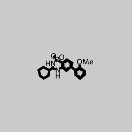 COc1ccccc1-c1ccc2c(c1)NC(C1CCCCC1)NS2(=O)=O